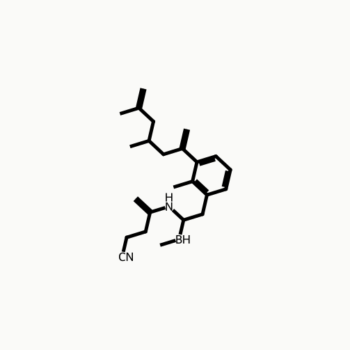 C=C(C)CC(C)CC(=C)c1cccc(CC(BC)NC(=C)CCC#N)c1C